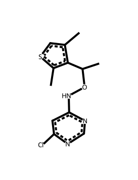 Cc1csc(C)c1C(C)ONc1cc(Cl)ncn1